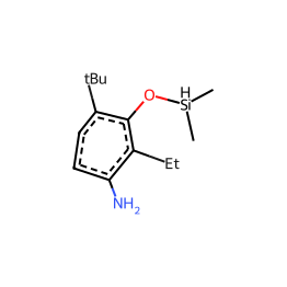 CCc1c(N)ccc(C(C)(C)C)c1O[SiH](C)C